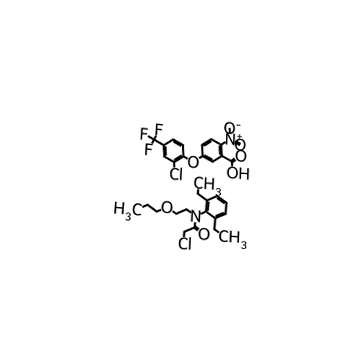 CCCOCCN(C(=O)CCl)c1c(CC)cccc1CC.O=C(O)c1cc(Oc2ccc(C(F)(F)F)cc2Cl)ccc1[N+](=O)[O-]